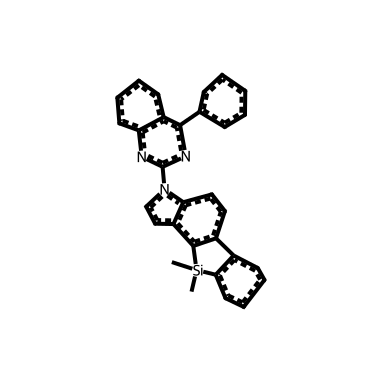 C[Si]1(C)c2ccccc2-c2ccc3c(ccn3-c3nc(-c4ccccc4)c4ccccc4n3)c21